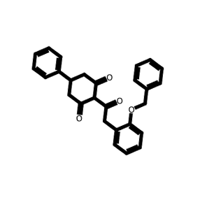 O=C(Cc1ccccc1OCc1ccccc1)C1C(=O)CC(c2ccccc2)CC1=O